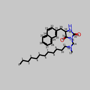 CCCCCCCCCCCCN(C)CN1C(=O)NC(Cc2ccc3ccccc3c2)C1=O